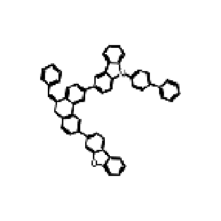 C(=C1\Cc2ccc(-c3ccc4c(c3)oc3ccccc34)cc2-c2cc(-c3ccc4c(c3)c3ccccc3n4-c3ccc(-c4ccccc4)cc3)ccc21)/c1ccccc1